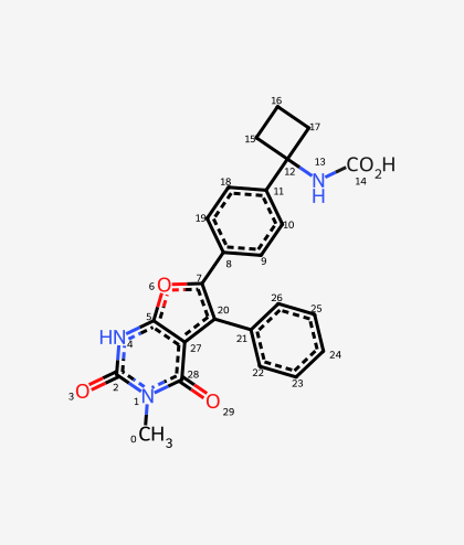 Cn1c(=O)[nH]c2oc(-c3ccc(C4(NC(=O)O)CCC4)cc3)c(-c3ccccc3)c2c1=O